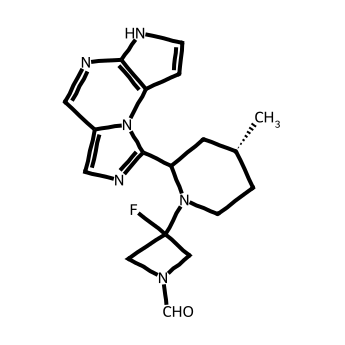 C[C@@H]1CCN(C2(F)CN(C=O)C2)C(c2ncc3cnc4[nH]ccc4n23)C1